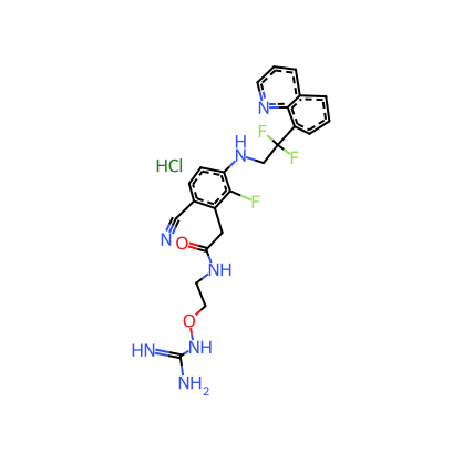 Cl.N#Cc1ccc(NCC(F)(F)c2cccc3cccnc23)c(F)c1CC(=O)NCCONC(=N)N